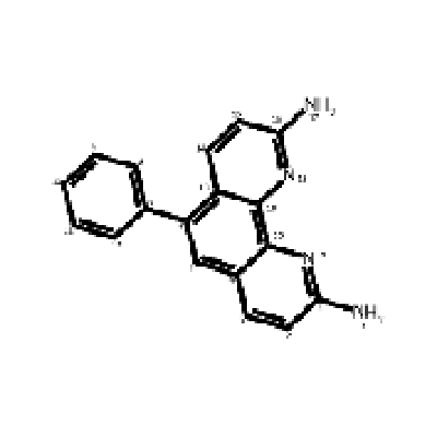 Nc1ccc2cc(-c3ccccc3)c3ccc(N)nc3c2n1